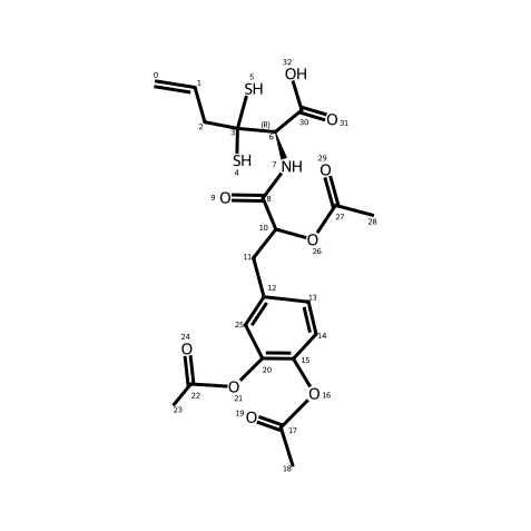 C=CCC(S)(S)[C@H](NC(=O)C(Cc1ccc(OC(C)=O)c(OC(C)=O)c1)OC(C)=O)C(=O)O